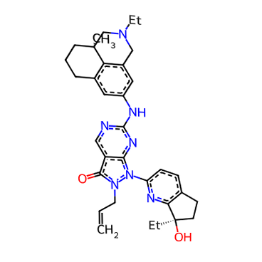 C=CCn1c(=O)c2cnc(Nc3cc4c5c(c3)CN(CC)C[C@]5(C)CCC4)nc2n1-c1ccc2c(n1)[C@@](O)(CC)CC2